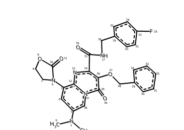 CN(C)c1cc(N2CCOC2=O)c2nc(C(=O)NCc3ccc(F)cc3)c(OCc3ccccc3)c(=O)n2c1